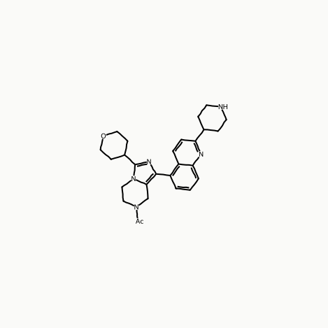 CC(=O)N1CCn2c(C3CCOCC3)nc(-c3cccc4nc(C5CCNCC5)ccc34)c2C1